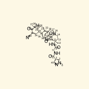 Cn1cc(C(=O)NCC(=O)N[C@@]2(C)CC[C@]3(C)CC[C@@]4(C)[C@]5(C)CC[C@H]6C(C)(C)C(=O)C(C#N)=C[C@]6(C)C5=CC(=O)[C@]4(O)[C@@H]3C2)cn1